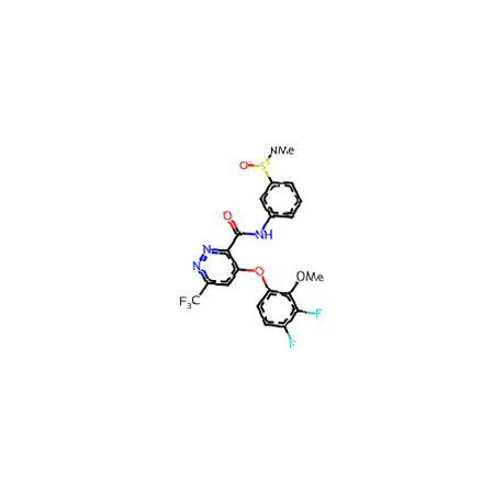 CN[S+]([O-])c1cccc(NC(=O)c2nnc(C(F)(F)F)cc2Oc2ccc(F)c(F)c2OC)c1